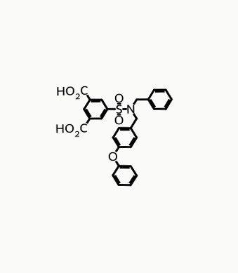 O=C(O)c1cc(C(=O)O)cc(S(=O)(=O)N(Cc2ccccc2)Cc2ccc(Oc3ccccc3)cc2)c1